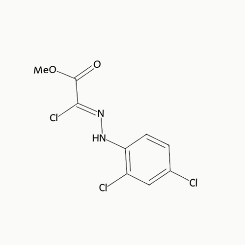 COC(=O)C(Cl)=NNc1ccc(Cl)cc1Cl